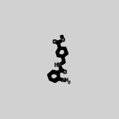 COC(=O)C1CCC(CNC(=O)C2=CCCC=C2N)CC1